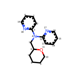 c1ccc(N(CC2CCCCO2)c2ccccn2)nc1